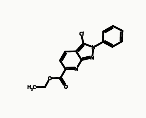 CCOC(=O)c1ccc2c(Cl)n(-c3ccccc3)nc2n1